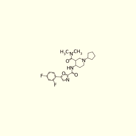 CN(C)C(=O)C1CN(C2CCCC2)CCC1NC(=O)c1ncc(-c2ccc(F)cc2F)o1